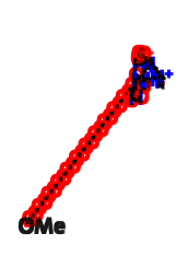 COCCOCCOCCOCCOCCOCCOCCOCCOCCOCCOCCOCCOCCOCCOCCOCCOCCOCCOCCOCCOCCOCCOCCOCCNC(=O)CCCCCN1C(=CC=CC=CC2=[N+](CCCCCC(=O)NCCCCCN3C(=O)C=CC3=O)c3ccc(C)cc3C2(C)C)C(C)(C)c2cc(S(=O)(=O)[O-])ccc21